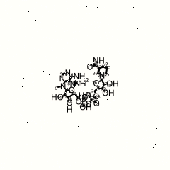 CN(c1ncnc(N)c1N=N)C1OC(COP(=O)(O)OP(=O)(O)OCC2OC([n+]3cccc(C(N)=O)c3)C(O)C2O)C(O)C1O